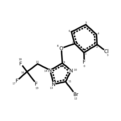 Fc1c(Cl)cccc1Oc1nc(Br)nn1CC(F)(F)F